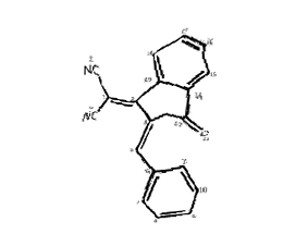 N#CC(C#N)=C1C(=Cc2ccccc2)C(=O)c2ccccc21